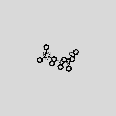 c1ccc(-c2nc(-c3ccccc3)nc(-c3ccc(-n4c5ccccc5c5c4ccc4c6c7oc8ccccc8c7ccc6n(-c6ccccc6)c45)c4ccccc34)n2)cc1